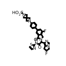 O=C(Nc1nccs1)C(c1ncn2c1C[C@@H](F)C2)N1Cc2c(F)cc(-c3ccc(N4CC5(CN(C(=O)O)C5)C4)cc3)cc2C1=O